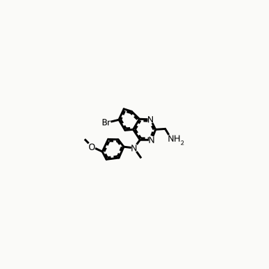 COc1ccc(N(C)c2nc(CN)nc3ccc(Br)cc23)cc1